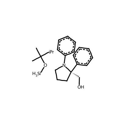 CC(C)C(C)(C)O[SiH3].OC[C@]1(c2ccccc2)CCCN1c1ccccc1